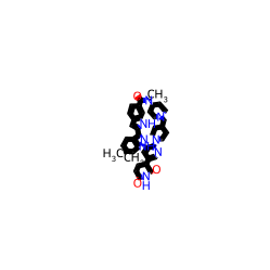 CN(C(=O)c1ccc2cc(-c3n[nH]c4c3CCC(C)(C)C4)[nH]c2c1)C1CCN(CC2CCN(c3ccc(C4CCC(=O)NC4=O)cn3)CC2)CC1